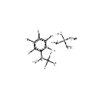 CCCCCCC[B-](CCCCCCC)(CCCCCCC)CCCCCCC.C[NH+](c1c(F)c(F)c(F)c(F)c1F)C(F)(F)C(F)(F)F